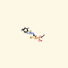 CCOP(OC)OC/C=N/NSc1ccc(C)cc1.P